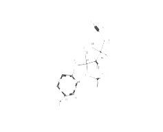 CC(=O)OC(Br)(Oc1ccc(Cl)cc1)C(=O)C(C)(C)CC#N